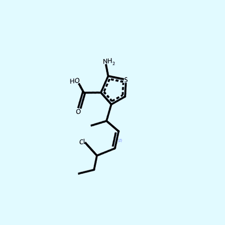 CCC(Cl)/C=C\C(C)c1csc(N)c1C(=O)O